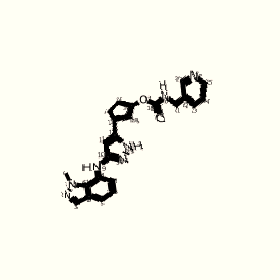 Cn1ncc2cccc(Nc3cc(C4CCC(OC(=O)NCc5cccnc5)C4)[nH]n3)c21